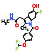 CNC(=O)Cc1c(C)n(C(=O)c2ccc(OC(F)F)cc2)c2cc(F)c(O)cc12